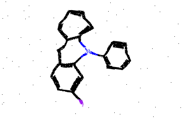 Ic1ccc2c(c1)N(c1ccccc1)c1ccccc1C2